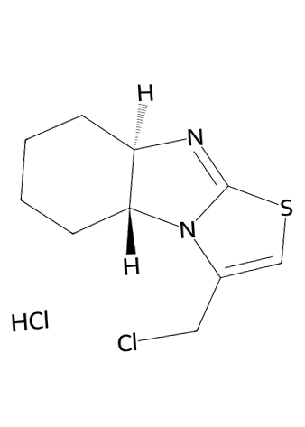 Cl.ClCC1=CSC2=N[C@@H]3CCCC[C@H]3N12